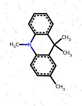 Cc1ccc2c(c1)C(C)(C)c1ccccc1N2C